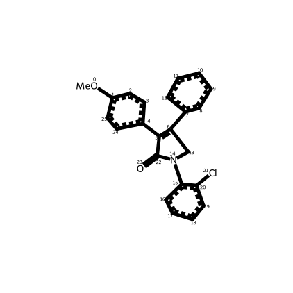 COc1ccc(C2=C(c3ccccc3)CN(c3ccccc3Cl)C2=O)cc1